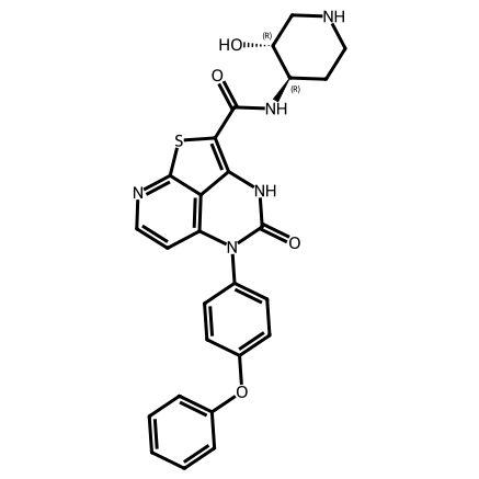 O=C(N[C@@H]1CCNC[C@H]1O)c1sc2nccc3c2c1NC(=O)N3c1ccc(Oc2ccccc2)cc1